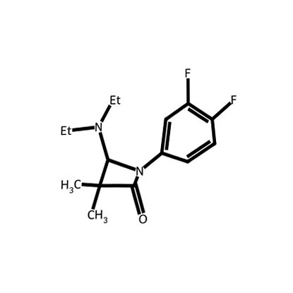 CCN(CC)C1N(c2ccc(F)c(F)c2)C(=O)C1(C)C